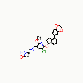 CCOc1nc(O[C@H]2CCc3c(-c4ccc5c(c4)OCCO5)cccc32)c(Cl)cc1CNC[C@@H]1CCC(=O)N1